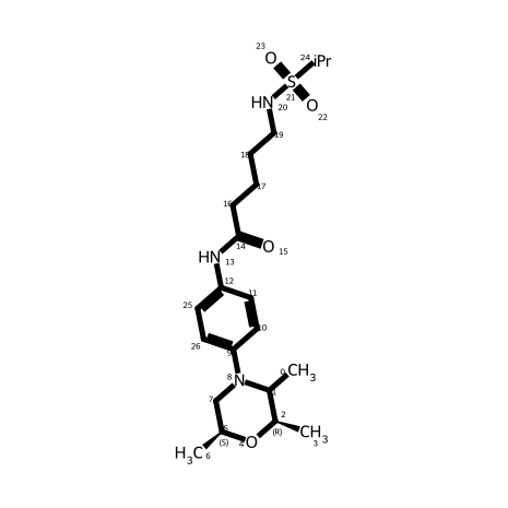 CC1[C@@H](C)O[C@@H](C)CN1c1ccc(NC(=O)CCCCNS(=O)(=O)C(C)C)cc1